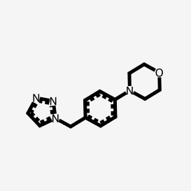 c1cn(Cc2ccc(N3CCOCC3)cc2)nn1